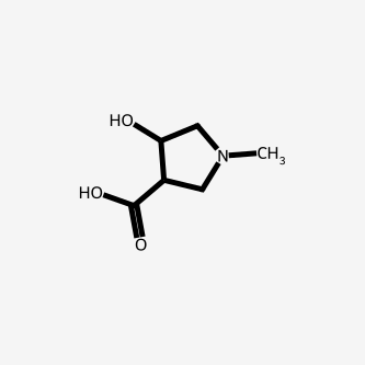 CN1CC(O)C(C(=O)O)C1